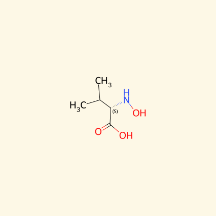 CC(C)[C@H](NO)C(=O)O